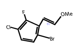 CO/C=C/c1c(Br)ccc(Cl)c1F